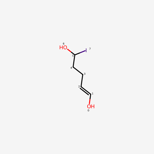 OC=CCCC(O)I